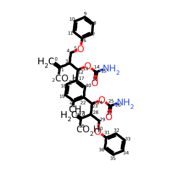 C=C(C(=O)O)C(COc1ccccc1)C(OC(N)=O)c1ccc(C)c(C(OC(N)=O)C(COc2ccccc2)C(=C)C(=O)O)c1